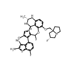 C[C@@H]1Nc2ccc(OC[C@@]34CCCN3C[C@H](F)C4)c3c2[C@@H](N1)n1cc(Cl)c(-c2ccc(F)c4sc(N)c(C#N)c24)c1C(F)O3